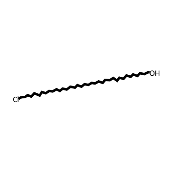 OCCCCCCCCCCCCCCCCCCCCCCCCCCCCCCCCCCCCCCl